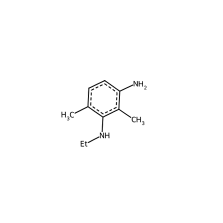 CCNc1c(C)ccc(N)c1C